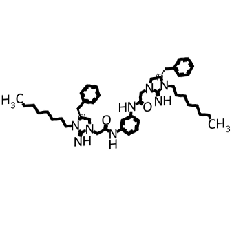 CCCCCCCCN1C(=N)N(CC(=O)Nc2cccc(NC(=O)CN3C[C@H](Cc4ccccc4)N(CCCCCCCC)C3=N)c2)C[C@@H]1Cc1ccccc1